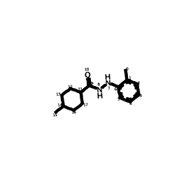 Cc1ccccc1NNC(=O)C1CCC(C)CC1